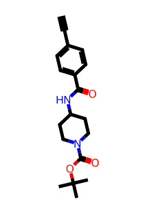 C#Cc1ccc(C(=O)NC2CCN(C(=O)OC(C)(C)C)CC2)cc1